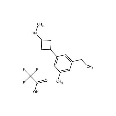 CCc1cc(C)cc(C2CC(NC)C2)c1.O=C(O)C(F)(F)F